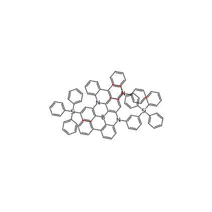 c1ccc(-c2ccccc2N2c3cc([Si](c4ccccc4)(c4ccccc4)c4ccccc4)ccc3B3c4c(-c5ccccc5)cccc4N(c4cccc([Si](c5ccccc5)(c5ccccc5)c5ccccc5)c4)c4cc(N(c5ccccc5)c5ccccc5)cc2c43)cc1